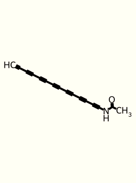 C#CC#CC#CC#CC#CC#CC#CNC(C)=O